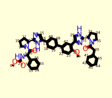 COC(=O)N[C@@H](C(=O)N1CCC[C@H]1c1ncc(-c2ccc(-c3ccc(OC)c(-c4c[nH]c([C@@H]5CCCN5C(=O)Cc5ccccc5)n4)c3)cc2)[nH]1)c1ccccc1